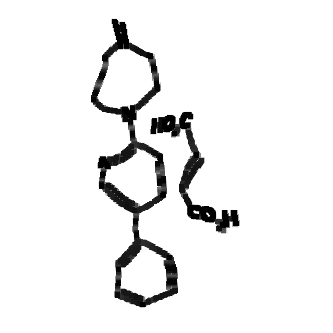 O=C(O)C=CC(=O)O.c1ccc(-c2ccc(N3CCNCC3)nc2)cc1